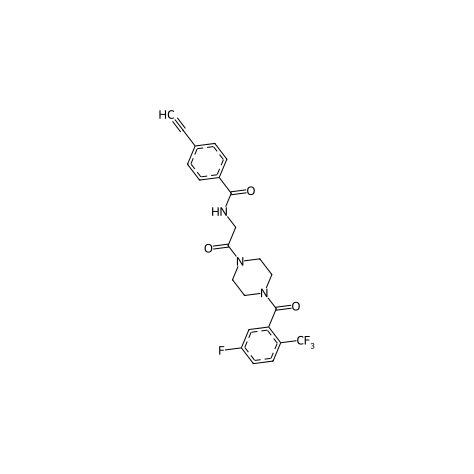 C#Cc1ccc(C(=O)NCC(=O)N2CCN(C(=O)c3cc(F)ccc3C(F)(F)F)CC2)cc1